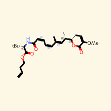 C=CCCOC(=O)[C@@H](NC(=O)\C=C/C=C\C(C)=C\[C@H](C)[C@@H]1CC=C(OC)C(=O)O1)C(C)(C)C